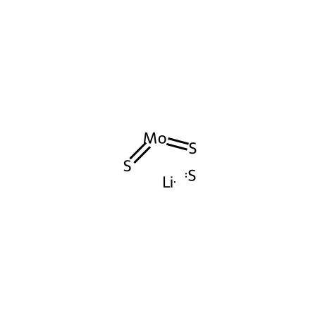 [Li].[S].[S]=[Mo]=[S]